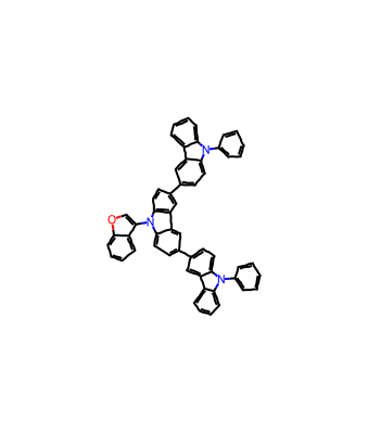 c1ccc(-n2c3ccccc3c3cc(-c4ccc5c(c4)c4cc(-c6ccc7c(c6)c6ccccc6n7-c6ccccc6)ccc4n5-c4coc5ccccc45)ccc32)cc1